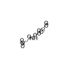 CC(=O)OCc1cc(C)c(OC(=O)OCCOCCNC(=O)CCCCCN2C(=O)C=CC2=O)c(C)c1